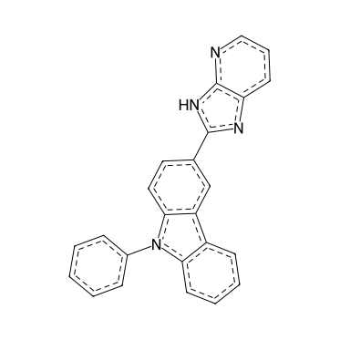 c1ccc(-n2c3ccccc3c3cc(-c4nc5cccnc5[nH]4)ccc32)cc1